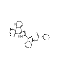 O=C(Cn1cc(-c2nc3c4cccnc4c4ncccc4c3[nH]2)c2ccccc21)N1CCCCC1